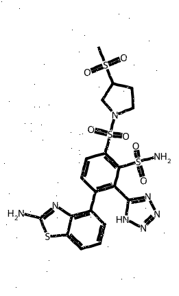 CS(=O)(=O)C1CCN(S(=O)(=O)c2ccc(-c3cccc4sc(N)nc34)c(-c3nnn[nH]3)c2S(N)(=O)=O)C1